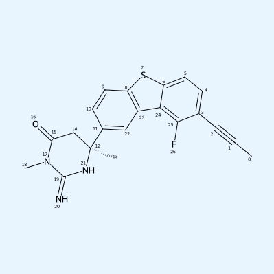 CC#Cc1ccc2sc3ccc([C@]4(C)CC(=O)N(C)C(=N)N4)cc3c2c1F